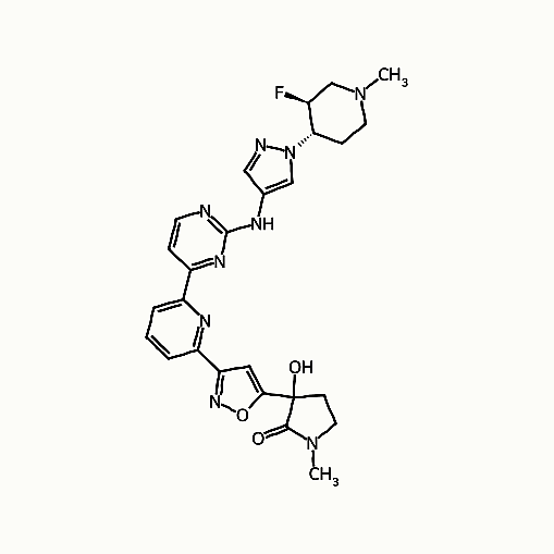 CN1CC[C@H](n2cc(Nc3nccc(-c4cccc(-c5cc(C6(O)CCN(C)C6=O)on5)n4)n3)cn2)[C@@H](F)C1